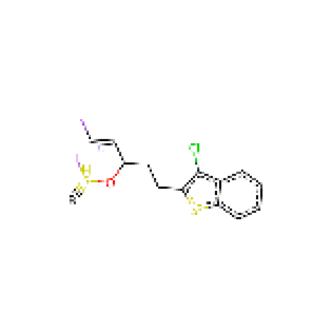 B#[SH](I)OC(/C=C/I)CCc1sc2ccccc2c1Cl